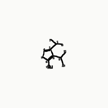 CC(C)C1=CC[C]([Ru])=C1C(C)C